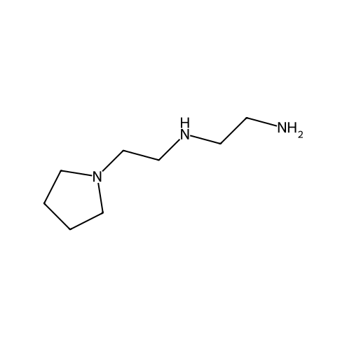 NCCNCCN1CCCC1